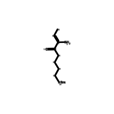 CC=C(N)C(=O)CCCCCCCCCC